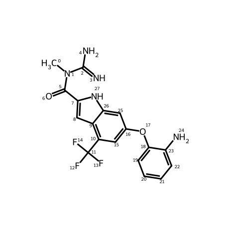 CN(C(=N)N)C(=O)c1cc2c(C(F)(F)F)cc(Oc3ccccc3N)cc2[nH]1